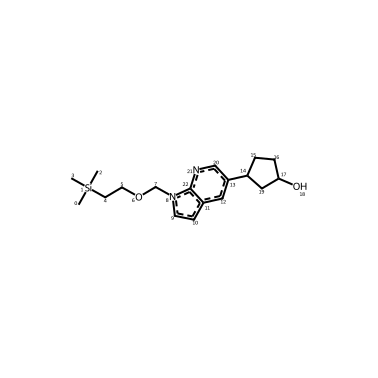 C[Si](C)(C)CCOCn1ccc2cc(C3CCC(O)C3)cnc21